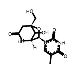 Cc1cn([C@@H]2O[C@@]3(CO)CC(=O)N[C@H]2C3O)c(=O)[nH]c1=O